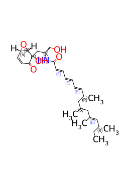 CC[C@@H](C)/C=C(\C)C[C@@H](C)C[C@@H](C)/C=C/C=C/C=C/C(=O)N[C@H](CO)C[C@@]1(O)C(=O)C=C[C@@H]2O[C@@H]21